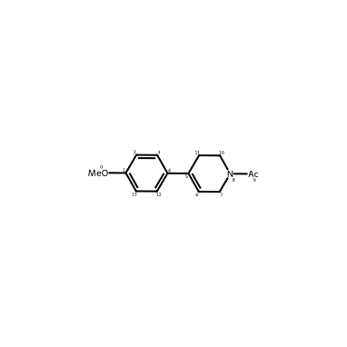 COc1ccc(C2=CCN(C(C)=O)CC2)cc1